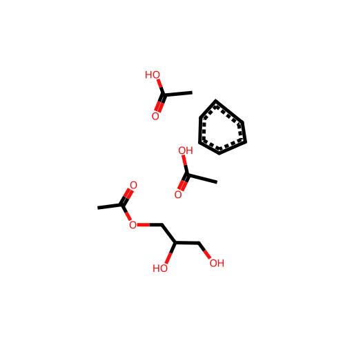 CC(=O)O.CC(=O)O.CC(=O)OCC(O)CO.c1ccccc1